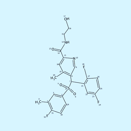 Cc1cc(S(=O)(=O)C(c2cnc(C(=O)NCCO)cc2C)c2cc(F)ccc2F)ccc1F